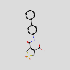 O=C(O)C1=C(C(=O)Nc2ccc(-c3ccccc3)cc2)CS(=O)(=O)C1